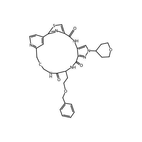 O=C1Nc2cn(C3CCOCC3)nc2C(=O)NC(CCOCc2ccccc2)C(=O)NCCCc2cc(ccn2)-c2nc1cs2